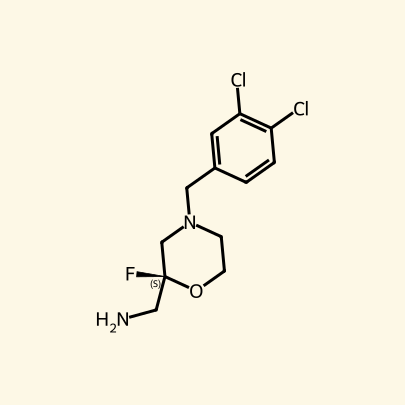 NC[C@]1(F)CN(Cc2ccc(Cl)c(Cl)c2)CCO1